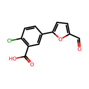 O=Cc1ccc(-c2ccc(Cl)c(C(=O)O)c2)o1